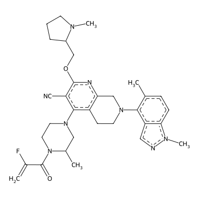 C=C(F)C(=O)N1CCN(c2c(C#N)c(OCC3CCCN3C)nc3c2CCN(c2c(C)ccc4c2cnn4C)C3)CC1C